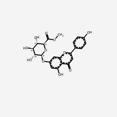 COC(=O)[C@H]1O[C@@H](Oc2cc(O)c3c(=O)cc(-c4ccc(O)cc4)oc3c2)[C@H](O)[C@@H](O)[C@@H]1O